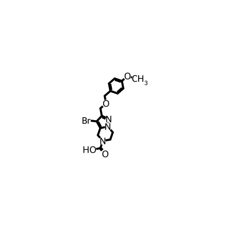 COc1ccc(COCc2nn3c(c2Br)CN(C(=O)O)CC3)cc1